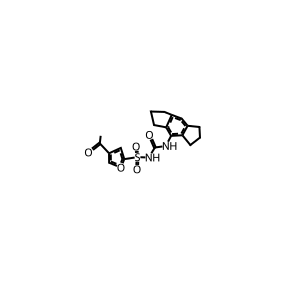 CC(=O)c1coc(S(=O)(=O)NC(=O)Nc2c3c(cc4c2CCC4)CCC3)c1